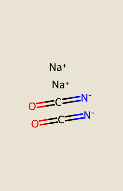 [N-]=C=O.[N-]=C=O.[Na+].[Na+]